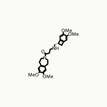 COc1cc2c(cc1OC)CCN(C(=O)CCNC[C@H]1Cc3cc(OC)c(OC)cc31)CC2